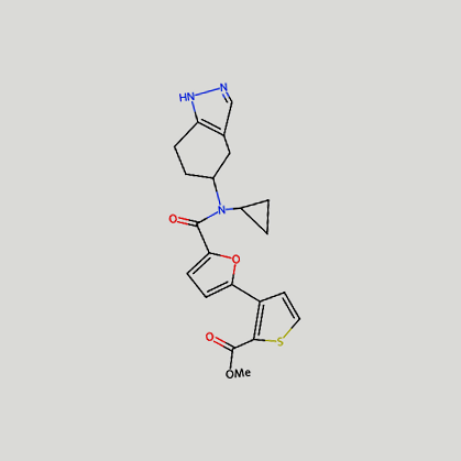 COC(=O)c1sccc1-c1ccc(C(=O)N(C2CC2)C2CCc3[nH]ncc3C2)o1